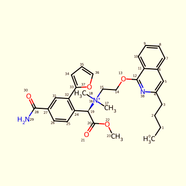 CCCCc1cc2ccccc2c(OCC[N+](C)(C)[C@@H](C(=O)OC)c2ccc(C(N)=O)cc2-c2ccco2)n1